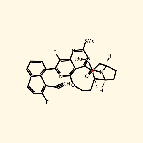 C#Cc1c(F)ccc2cccc(-c3nc4c5c(nc(SC)nc5c3F)N3C[C@H]5CC[C@@H]([C@H]3CCO4)N5C(=O)OC(C)(C)C)c12